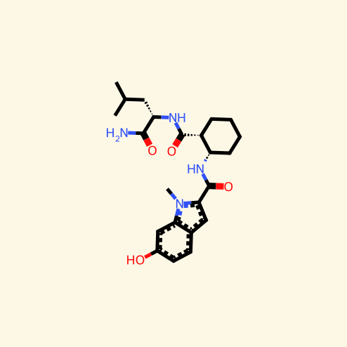 CC(C)C[C@H](NC(=O)[C@@H]1CCCC[C@@H]1NC(=O)c1cc2ccc(O)cc2n1C)C(N)=O